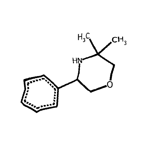 CC1(C)COCC(c2ccccc2)N1